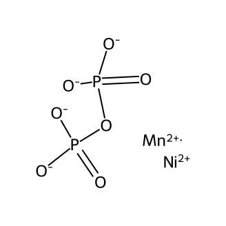 O=P([O-])([O-])OP(=O)([O-])[O-].[Mn+2].[Ni+2]